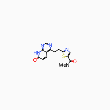 CNC(=O)c1cnc(CCc2ncnc3[nH]c(=O)ccc23)s1